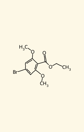 CCOC(=O)c1c(OC)cc(Br)cc1OC